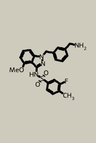 COc1cccc2c1c(NS(=O)(=O)c1ccc(C)c(F)c1)nn2Cc1cccc(CN)c1